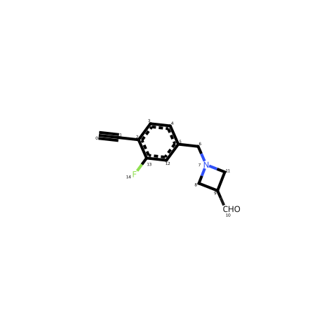 C#Cc1ccc(CN2CC(C=O)C2)cc1F